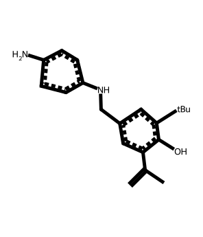 C=C(C)c1cc(CNc2ccc(N)cc2)cc(C(C)(C)C)c1O